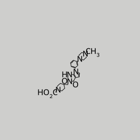 CN1CCN(c2cccc(-n3ccc4c(=O)n(CC5(O)CCN(C(=O)O)CC5)cnc43)c2)CC1